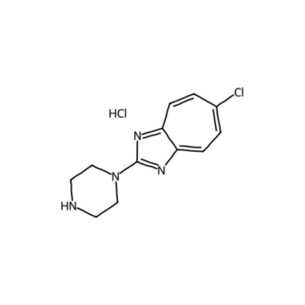 Cl.Clc1ccc2nc(N3CCNCC3)nc-2cc1